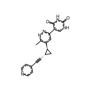 Cc1nnc(-c2c[nH]c(=O)[nH]c2=O)cc1[C@H]1C[C@@H]1C#Cc1ccncc1